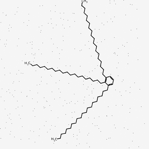 CCCCCCCCCCCCCCCCCCCCc1cccc(CCCCCCCCCCCCCCCCCCCC)c1CCCCCCCCCCCCCCCCCCCC